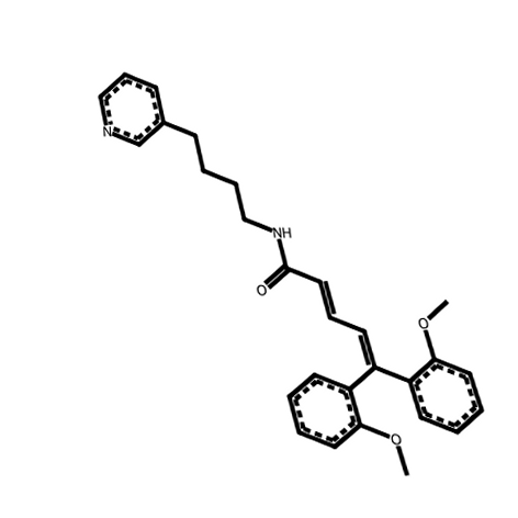 COc1ccccc1C(=CC=CC(=O)NCCCCc1cccnc1)c1ccccc1OC